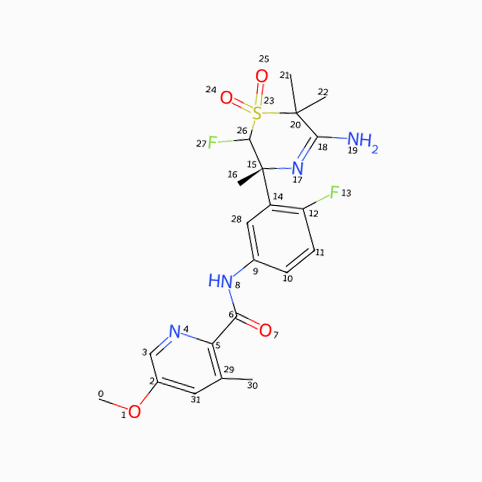 COc1cnc(C(=O)Nc2ccc(F)c([C@@]3(C)N=C(N)C(C)(C)S(=O)(=O)C3F)c2)c(C)c1